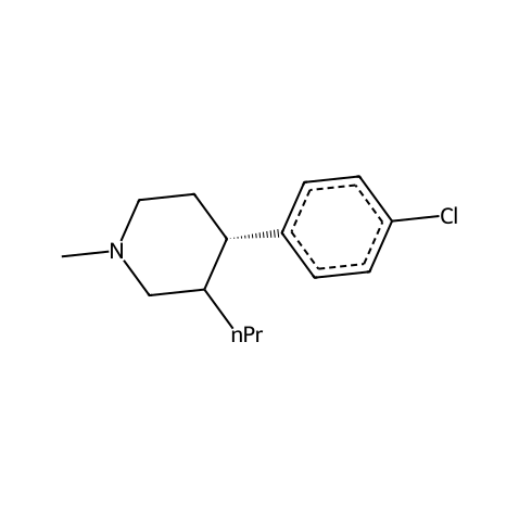 CCCC1CN(C)CC[C@@H]1c1ccc(Cl)cc1